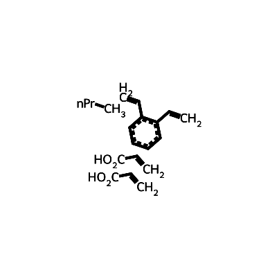 C=CC(=O)O.C=CC(=O)O.C=Cc1ccccc1C=C.CCCC